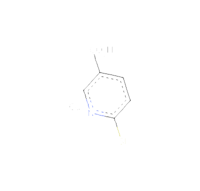 O=C(O)c1ccc(S)nc1.[Cd]